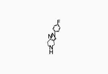 Fc1ccc(-n2cc3c(n2)CCNC3)cc1